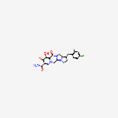 NC(=O)c1cn2c(c(O)c1=O)C(=O)N1CC3C(Cc4ccc(F)cc4F)CCN3C1C2